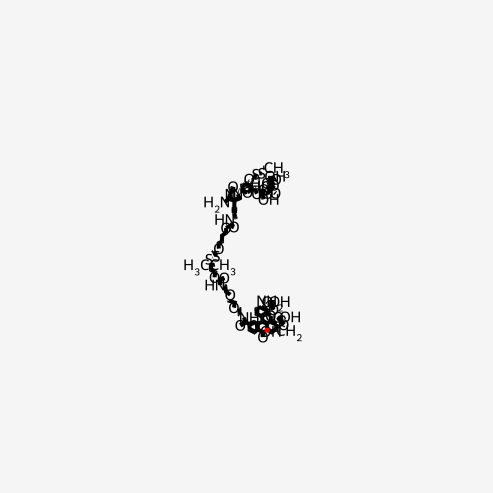 C=c1ccc2c(c1S(=O)(=O)O)Oc1c(ccc(N)c1S(=O)(=O)O)C=2c1cc(C(=O)NCCOCCOCCNC(=O)OCCC(C)(C)SSCOCCCCOC(=O)NCC#Cc2cn([C@H]3C[C@H](OCSSCC)[C@@H](COP(=O)(O)OP(=O)(O)OP(=O)(O)O)O3)c(=O)nc2N)ccc1C(=O)O